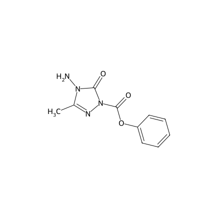 Cc1nn(C(=O)Oc2ccccc2)c(=O)n1N